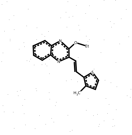 CCOc1nc2ccccc2nc1/C=C/c1sccc1C